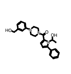 CC(O)n1c(C(=O)N2CCN(c3cccc(CO)c3)CC2)ccc1-c1ccccc1